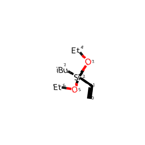 C=C[Si](OCC)(OCC)C(C)CC